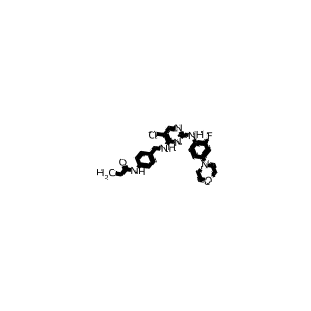 C=CC(=O)Nc1ccc(CNc2nc(Nc3ccc(N4CCOCC4)cc3F)ncc2Cl)cc1